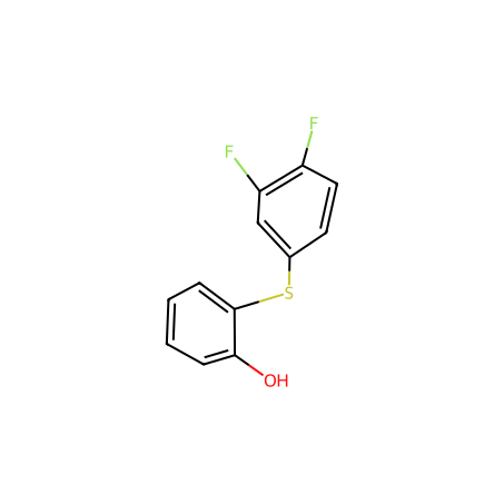 Oc1ccccc1Sc1ccc(F)c(F)c1